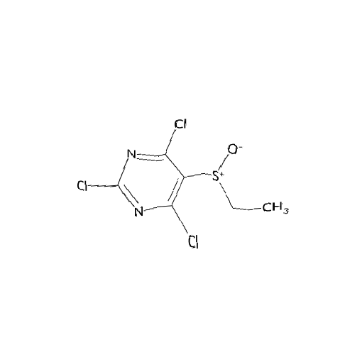 CC[S+]([O-])c1c(Cl)nc(Cl)nc1Cl